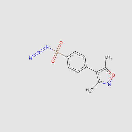 Cc1noc(C)c1-c1ccc(S(=O)(=O)N=[N+]=[N-])cc1